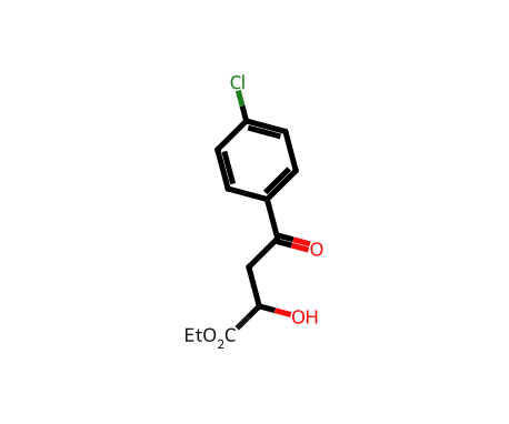 CCOC(=O)C(O)CC(=O)c1ccc(Cl)cc1